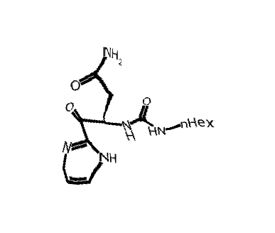 CCCCCCNC(=O)N[C@H](CC(N)=O)C(=O)c1ncc[nH]1